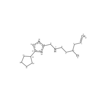 C=CCC(CC)CCNCc1noc(C2CCCC2)n1